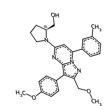 COCc1nn2c(-c3cccc(C)c3)cc(N3CCC[C@H]3CO)nc2c1-c1ccc(OC)cc1